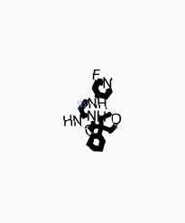 N=C(/C=C\Nc1ccnc(F)c1)NC(=O)C1(c2ccccc2)CCOCC1